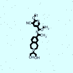 C=C(/N=C(\ON)c1cnc(OCC)c(C#N)c1)c1ccc2c(c1)CCN(C(CO)CO)CC2